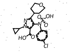 O=C(O)c1c(N(c2ccc(Cl)cc2)S(=O)(=O)O)c(C2CCOCC2)nn1C1CC1